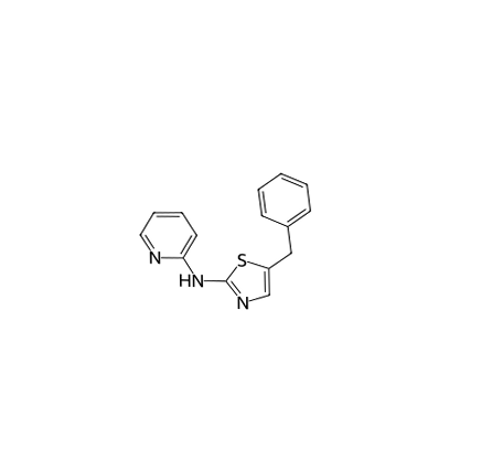 c1ccc(Cc2cnc(Nc3ccccn3)s2)cc1